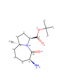 CC(C)(C)OC(=O)[C@@H]1CC[C@@H]2CCC[C@H](N)C(=O)N21